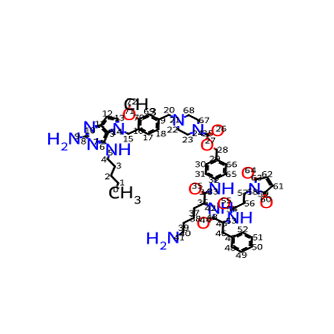 CCCCCNc1nc(N)nc2ccn(Cc3ccc(CN4CCN(C(=O)OCc5ccc(NC(=O)C(CCCCN)NC(=O)C(Cc6ccccc6)NC(=O)CCN6C(=O)C=CC6=O)cc5)CC4)cc3OC)c12